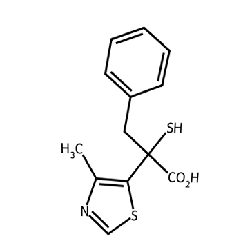 Cc1ncsc1C(S)(Cc1ccccc1)C(=O)O